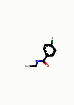 N#CCNC(=O)c1ccc(F)cc1